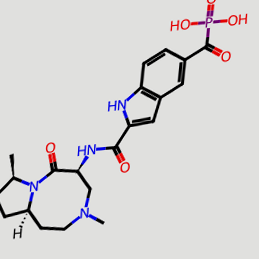 C[C@@H]1CC[C@@H]2CCN(C)C[C@H](NC(=O)c3cc4cc(C(=O)P(=O)(O)O)ccc4[nH]3)C(=O)N21